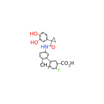 Cc1ccc(NC(=O)C2(c3ccc(O)c(O)c3)CC2)cc1-c1ccc(F)c(C(=O)O)c1